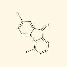 O=C1c2cc(F)ccc2-c2c(F)cccc21